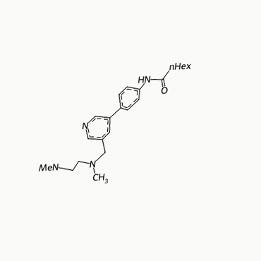 CCCCCCC(=O)Nc1ccc(-c2cncc(CN(C)CCNC)c2)cc1